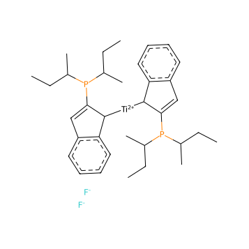 CCC(C)P(C1=Cc2ccccc2[CH]1[Ti+2][CH]1C(P(C(C)CC)C(C)CC)=Cc2ccccc21)C(C)CC.[F-].[F-]